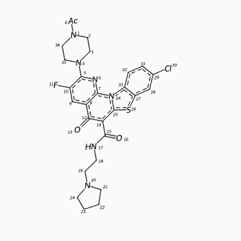 CC(=O)N1CCN(c2nc3c(cc2F)c(=O)c(C(=O)NCCN2CCCC2)c2sc4cc(Cl)ccc4n23)CC1